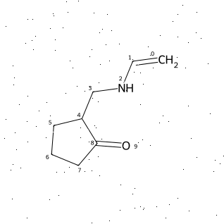 C=CNCC1CCCC1=O